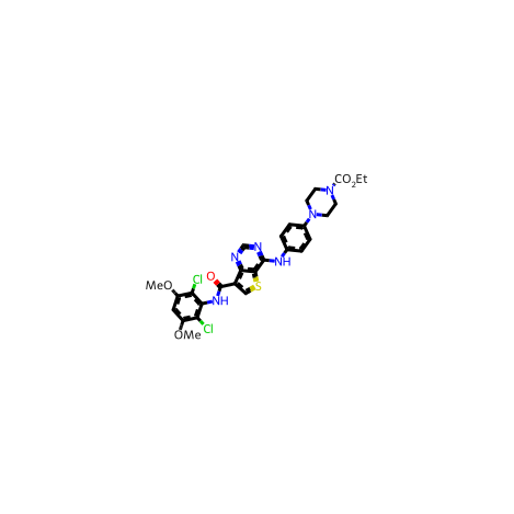 CCOC(=O)N1CCN(c2ccc(Nc3ncnc4c(C(=O)Nc5c(Cl)c(OC)cc(OC)c5Cl)csc34)cc2)CC1